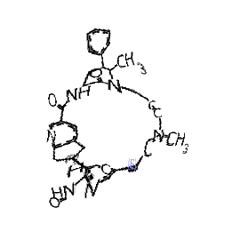 CC1C(c2ccccc2)CC2NC(=O)c3cnc4c(c3)C[C@H](C4)c3cc(cnc3NC=O)/C=C/CN(C)CCCCCN1C2=O